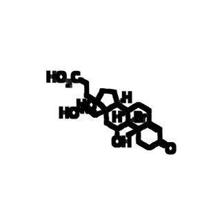 C[C@]12CCC(=O)C=C1CC[C@H]1[C@@H]3CC[C@@](O)(CCC(=O)O)[C@@]3(/C=N/O)C[C@H](O)[C@@]12Br